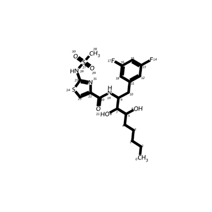 CCCCCC(O)C(O)C(Cc1cc(F)cc(F)c1)NC(=O)c1csc(NS(C)(=O)=O)n1